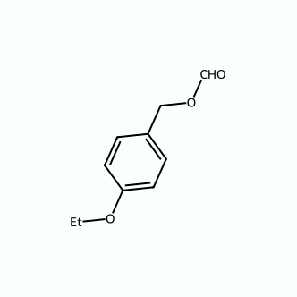 CCOc1ccc(COC=O)cc1